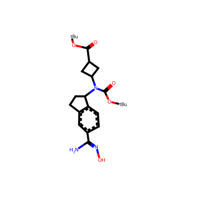 CC(C)(C)OC(=O)C1CC(N(C(=O)OC(C)(C)C)C2CCc3cc(C(N)=NO)ccc32)C1